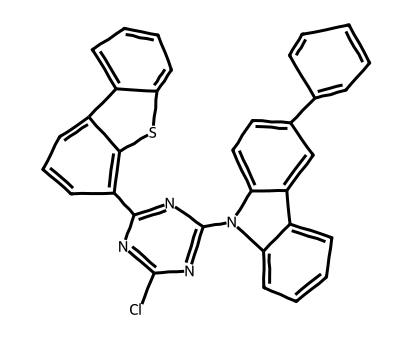 Clc1nc(-c2cccc3c2sc2ccccc23)nc(-n2c3ccccc3c3cc(-c4ccccc4)ccc32)n1